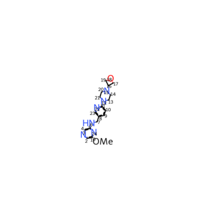 COc1cncc(NCc2ccc(N3CCN(C4COC4)CC3)nc2)n1